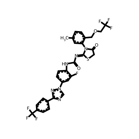 Cc1ccc(COCC(F)(F)F)c(N2C(=O)CSC2=NC(=O)Nc2ccc(-n3cnc(-c4ccc(C(F)(F)F)cc4)n3)cc2F)c1